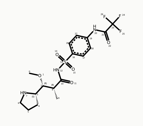 CO[C@@H]([C@@H]1CCCN1)[C@@H](C)C(=O)NS(=O)(=O)c1ccc(NC(=O)C(F)(F)F)cc1